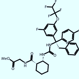 COC(=O)CNC(=O)[C@H]1CCCC[C@H]1NC(=O)N[C@@](Cc1ccccc1)(c1cc(F)cc(OC(F)(F)C(F)F)c1)c1ccc(Cl)cn1